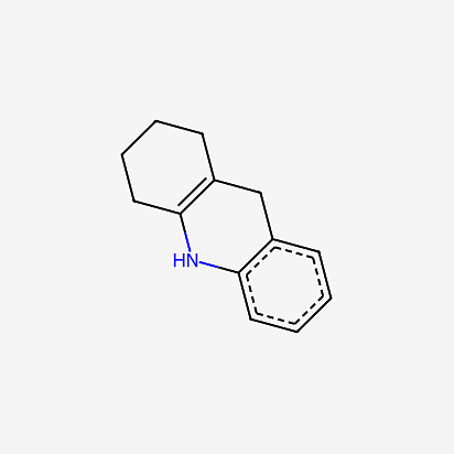 c1ccc2c(c1)CC1=C(CCCC1)N2